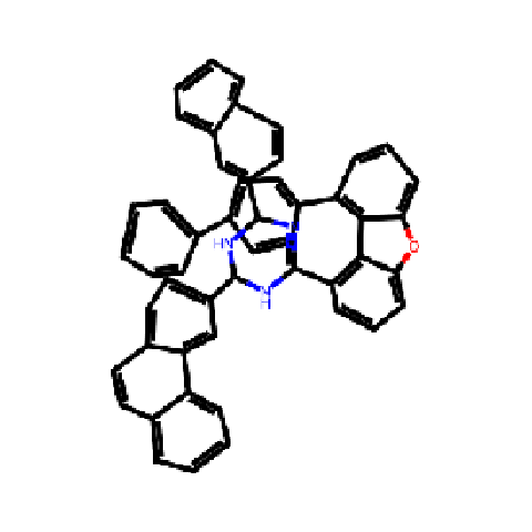 c1ccc(-c2ccc(-c3cccc4oc5cccc(C6=NC(c7ccc8ccccc8c7)NC(c7ccc8ccc9ccccc9c8c7)N6)c5c34)cc2)cc1